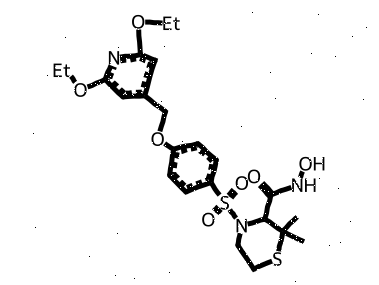 CCOc1cc(COc2ccc(S(=O)(=O)N3CCSC(C)(C)C3C(=O)NO)cc2)cc(OCC)n1